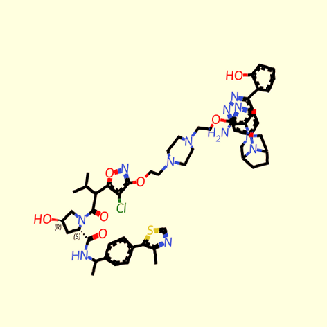 Cc1ncsc1-c1ccc(C(C)NC(=O)[C@@H]2C[C@@H](O)CN2C(=O)C(c2onc(OCCN3CCN(CCOc4cc(N5C6CCC5CN(c5cc(-c7ccccc7O)nnc5N)C6)ccn4)CC3)c2Cl)C(C)C)cc1